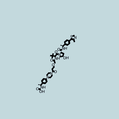 Cc1ncsc1-c1ccc([C@H](C)NC(=O)[C@@H]2C[C@@H](O)CN2C(=O)C(NC(=O)COCCC(=O)N2CCN(c3ccc([C@H](C)NC(=O)O)cc3)CC2)C(C)(C)C)cc1